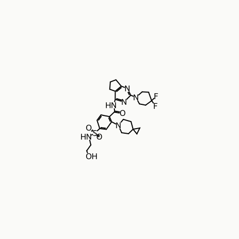 O=C(Nc1nc(N2CCC(F)(F)CC2)nc2c1CCC2)c1ccc(S(=O)(=O)NCCO)cc1N1CCC2(CC1)CC2